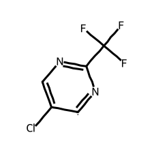 FC(F)(F)c1n[c]c(Cl)cn1